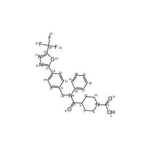 O=C(O)N1CCC(C(=O)N(Cc2ccc(-c3nnc(C(F)(F)F)o3)cc2)c2ccccc2)CC1